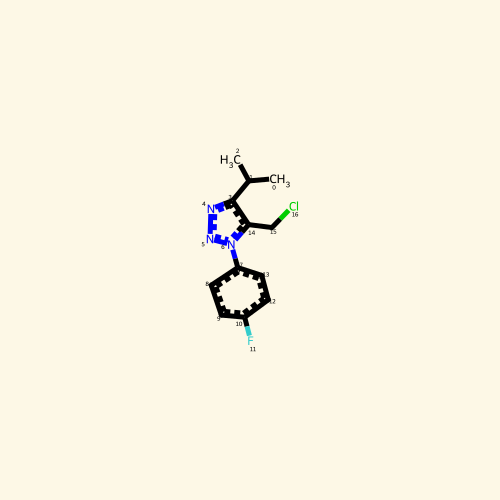 CC(C)c1nnn(-c2ccc(F)cc2)c1CCl